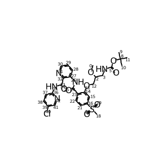 COC(CNC(=O)OC(C)(C)C)COc1cc(S(C)(=O)=O)ccc1C(=O)Nc1cccnc1C(=O)Nc1ccc(Cl)cn1